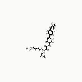 C/C=C/CCCC(CCC)CCCC1CC=C(c2ccc(OC(F)(F)F)cc2)CC1